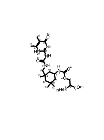 CCCCCCCCC(CCCCCC)COC(=O)NC1CC(C)(C)CC(C)(CNC(=O)Nc2nc(=O)c(C)c(C)[nH]2)C1